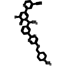 CB(c1cccc(-c2ncc(OCC3CCN(C)CC3)cn2)c1)n1cc(-c2cc(C#N)ccn2)cc(F)c1=O